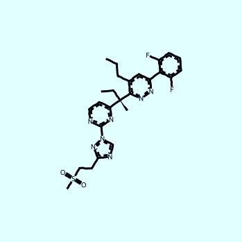 CCCc1cc(-c2c(F)cccc2F)nnc1[C@@](C)(CC)c1ccnc(-n2cnc(CCS(C)(=O)=O)n2)n1